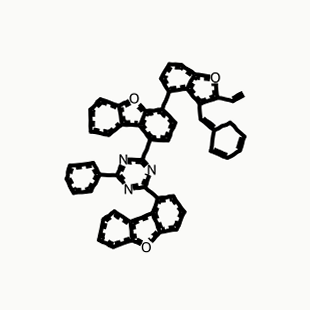 C=Cc1oc2cccc(-c3ccc(-c4nc(-c5ccccc5)nc(-c5cccc6oc7ccccc7c56)n4)c4c3oc3ccccc34)c2c1/C=C1/C=CC=CC1